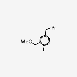 COCc1cc(CC(C)C)ccc1C